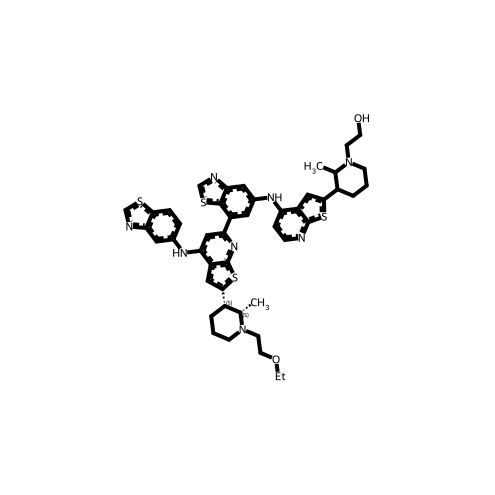 CCOCCN1CCC[C@H](c2cc3c(Nc4ccc5scnc5c4)cc(-c4cc(Nc5ccnc6sc(C7CCCN(CCO)C7C)cc56)cc5ncsc45)nc3s2)[C@@H]1C